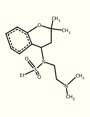 CCS(=O)(=O)N(CCN(C)C)C1CC(C)(C)Oc2ccccc21